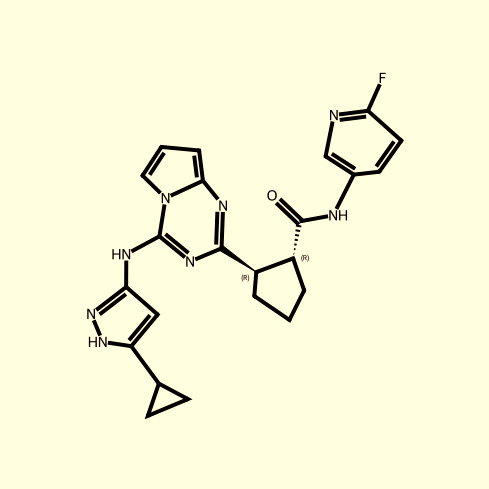 O=C(Nc1ccc(F)nc1)[C@@H]1CCC[C@H]1c1nc(Nc2cc(C3CC3)[nH]n2)n2cccc2n1